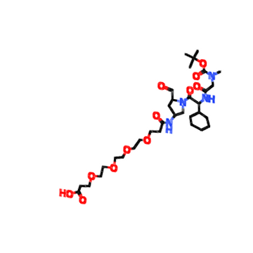 CN(CC(=O)NC(C(=O)N1CC(NC(=O)CCOCCOCCOCCOCCC(=O)O)CC1C=O)C1CCCCC1)C(=O)OC(C)(C)C